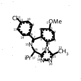 COc1ccc2c(c1)C(c1ccc(Cl)cc1)=NC(C(C)C)c1nnc(C)n1-2